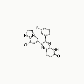 O=c1ccc2nc(-c3cc(Cl)c4nccn4c3)c(-c3cccc(F)c3)nc2[nH]1